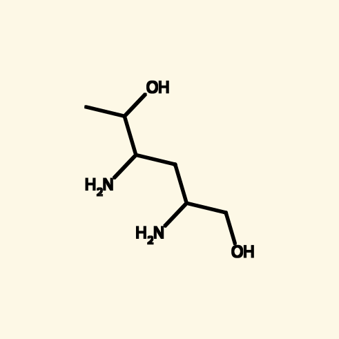 CC(O)C(N)CC(N)CO